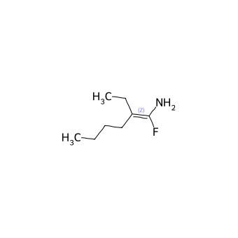 CCCC/C(CC)=C(/N)F